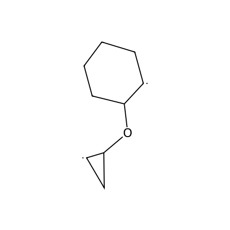 [CH]1CC1OC1[CH]CCCC1